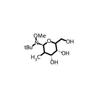 CON([C@H]1OC(CO)[C@H](O)[C@H](O)C1C)C(C)(C)C